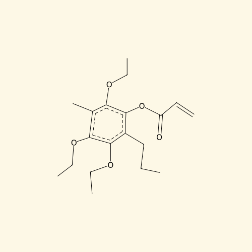 C=CC(=O)Oc1c(CCC)c(OCC)c(OCC)c(C)c1OCC